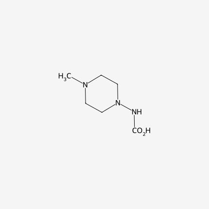 CN1CCN(NC(=O)O)CC1